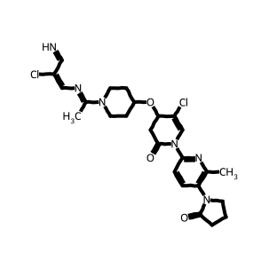 C/C(=N\C=C(\Cl)C=N)N1CCC(OC2CC(=O)N(c3ccc(N4CCCC4=O)c(C)n3)C=C2Cl)CC1